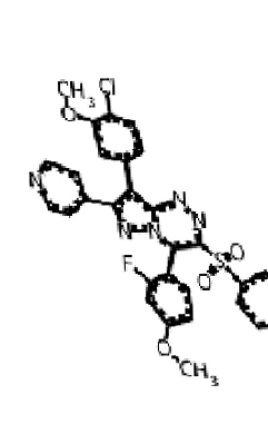 COc1ccc(-c2c(S(=O)(=O)c3ccccc3)nnc3c(-c4ccc(Cl)c(OC)c4)c(-c4ccncc4)nn23)c(F)c1